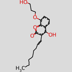 CCCCCCC=Cc1c(O)c2cccc(OCCCO)c2oc1=O